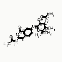 CC(=O)Nc1cc2ccc(OC3OC(C)(C)[C@H](C)[C@H](OC(N)=O)[C@@H]3O)cc2c(=O)o1